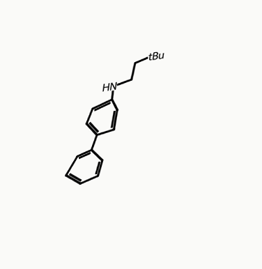 CC(C)(C)CCNc1ccc(-c2ccccc2)cc1